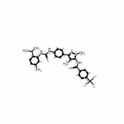 Cc1ccc(C(C)C)c(NC(=S)Nc2ccc(-c3nn(C)c(NC(=O)c4ccc(C(F)(F)F)cc4)c3C)cc2)c1